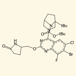 CC(C)(C)OC(=O)N1C2CCC1(C(C)(C)C)CN(c1nc(OCC3CCC(=O)N3)nc3c(F)c(Br)c(Cl)cc13)C2